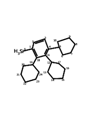 [SiH3]c1ccc(C2CCCCC2)c(C2CCCCC2)c1C1CCCCC1